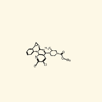 C[C@H]1CN(C(=O)OC(C)(C)C)CCN1c1nc(=O)n(-c2ccccc2C2CC2)c2nc(Cl)c(Cl)cc12